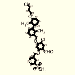 Cc1c(COc2cc(OCc3cncc(S(C)(=O)=O)c3)c(C=O)cc2Cl)cccc1-c1cccc(OCCCCl)c1C